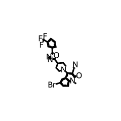 Cn1c(=O)c(C#N)c(N2CCC(c3nnc(-c4cccc(C(F)(F)F)c4)o3)CC2)c2cc(Br)ccc21